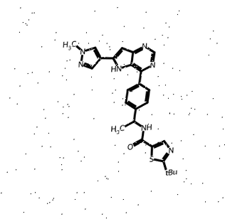 CC(NC(=O)c1cnc(C(C)(C)C)s1)c1ccc(-c2ncnc3cc(-c4cnn(C)c4)[nH]c23)cc1